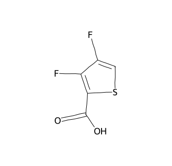 O=C(O)c1scc(F)c1F